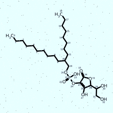 CCCCCCCCCCC(CCCCCCCC)COP(=O)(O)OC1=C(O)C(C(O)CO)OC1=O